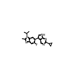 Cc1nc2cc(F)c(-c3c[nH]c4nc(C5CC5)ncc34)cc2n1C(C)C